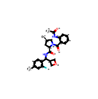 CC[C@@H]1C[C@H](C(=O)NC(c2ccc(C(F)(F)F)cc2F)C2COC2)N(C(=O)c2ccccc2NC(=O)C(F)(F)F)C1